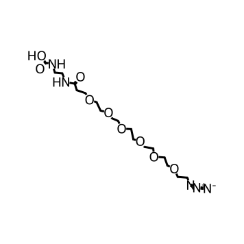 [N-]=[N+]=NCCOCCOCCOCCOCCOCCOCCC(=O)NCCNC(=O)O